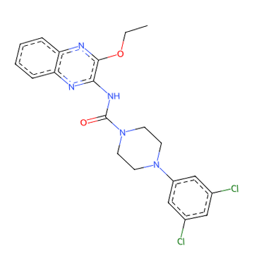 CCOc1nc2ccccc2nc1NC(=O)N1CCN(c2cc(Cl)cc(Cl)c2)CC1